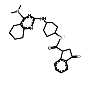 CN(C)c1nc(NC2CCC(NC(=O)C3CC(=O)c4ccccc43)CC2)nc2c1CCCC2